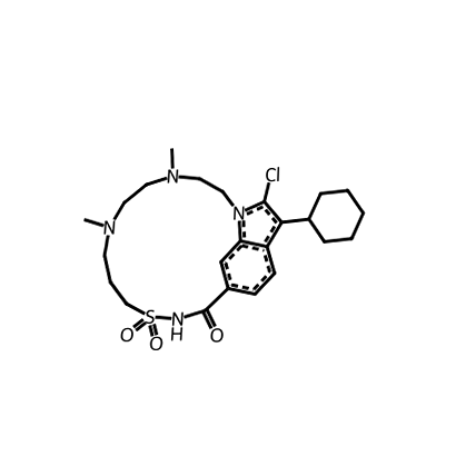 CN1CCCS(=O)(=O)NC(=O)c2ccc3c(C4CCCCC4)c(Cl)n(c3c2)CCN(C)CC1